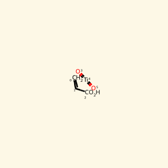 C=CC(=O)O.[O]=[Ti]=[O]